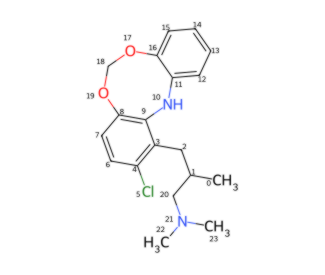 CC(Cc1c(Cl)ccc2c1Nc1ccccc1OCO2)CN(C)C